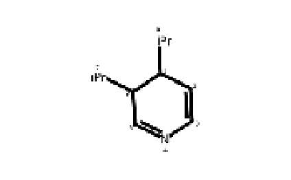 CC(C)C1C=CN=CC1C(C)C